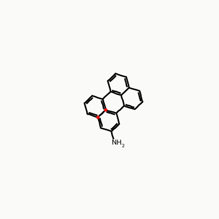 Nc1cccc(-c2cccc3cccc(-c4ccccc4)c23)c1